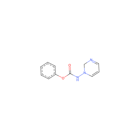 O=C(NN1C=CC=NC1)Oc1ccccc1